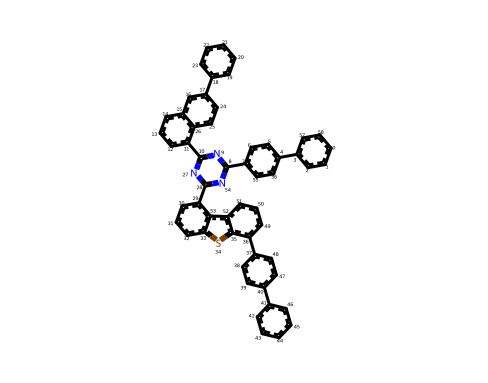 c1ccc(-c2ccc(-c3nc(-c4cccc5cc(-c6ccccc6)ccc45)nc(-c4cccc5sc6c(-c7ccc(-c8ccccc8)cc7)cccc6c45)n3)cc2)cc1